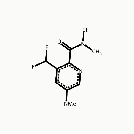 CCN(C)C(=O)c1ncc(NC)cc1C(F)F